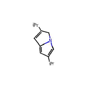 CC(C)C1=Cc2cc(C(C)C)cn2C1